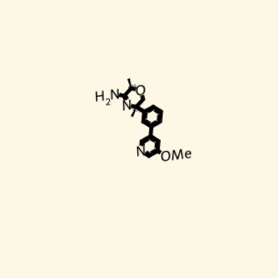 COc1cncc(-c2cccc([C@@]3(C)CO[C@H](C)C(N)=N3)c2)c1